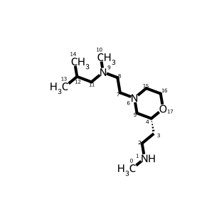 CNCC[C@@H]1CN(CCN(C)CC(C)C)CCO1